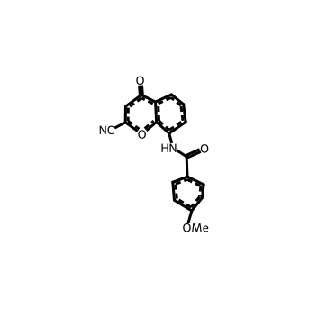 COc1ccc(C(=O)Nc2cccc3c(=O)cc(C#N)oc23)cc1